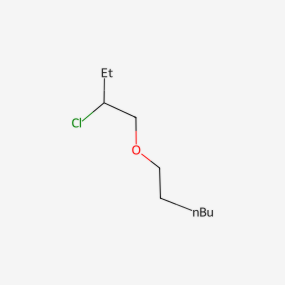 [CH2]CCCCCOCC(Cl)CC